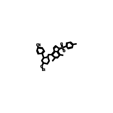 CCOC1CCN(Cc2c(C)cc(C)c3c2ccn3S(=O)(=O)c2ccc(C)cc2)C(c2ccc(C#N)cc2)C1